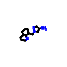 Nc1cnn(Cc2cccc3cccnc23)c1